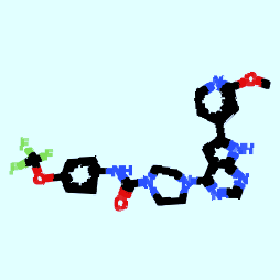 COc1cc(-c2cc3c(N4CCN(C(=O)Nc5ccc(OC(F)(F)F)cc5)CC4)ncnc3[nH]2)ccn1